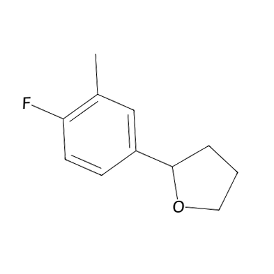 Cc1cc(C2CCCO2)ccc1F